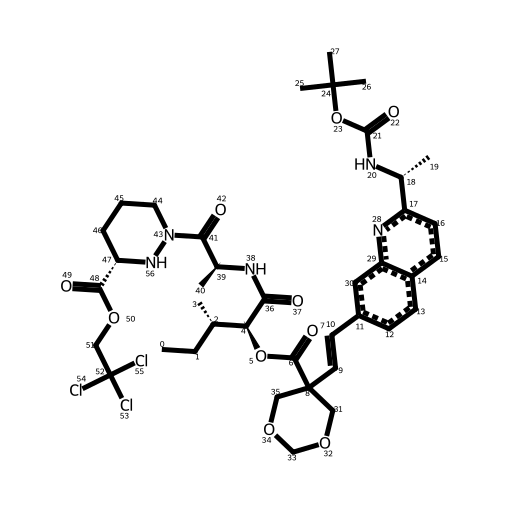 CC[C@H](C)[C@H](OC(=O)C1(/C=C/c2ccc3ccc([C@@H](C)NC(=O)OC(C)(C)C)nc3c2)COCOC1)C(=O)N[C@@H](C)C(=O)N1CCC[C@@H](C(=O)OCC(Cl)(Cl)Cl)N1